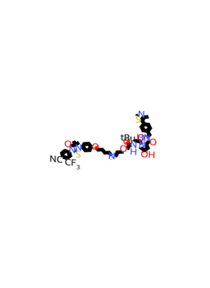 Cc1ncsc1-c1ccc(CNC(=O)C2C[C@@H](O)CN2C(=O)[C@@H](NC(=O)COCCCN(C)CCCCOc2ccc(N3C(=S)N(c4ccc(C#N)c(C(F)(F)F)c4)C(=O)C3(C)C)cc2)C(C)(C)C)cc1